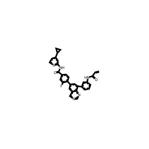 C=CC(=O)Nc1cccc(-c2cc(-c3ccc(C(=O)Nc4cc(C5CC5)ccn4)cc3F)cc3cncnc23)c1